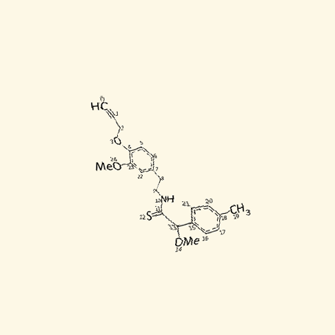 C#CCOc1ccc(CCNC(=S)C(OC)c2ccc(C)cc2)cc1OC